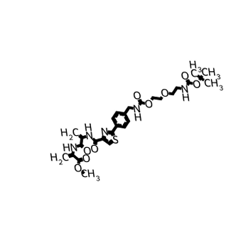 C=C(NC(=O)c1csc(-c2ccc(CNC(=O)OCCOCCNC(=O)OC(C)(C)C)cc2)n1)C(=O)NC(=C)C(=O)OC